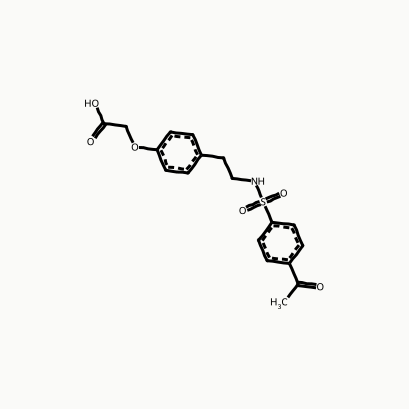 CC(=O)c1ccc(S(=O)(=O)NCCc2ccc(OCC(=O)O)cc2)cc1